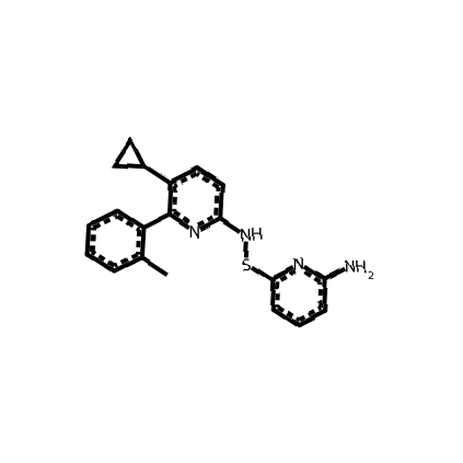 Cc1ccccc1-c1nc(NSc2cccc(N)n2)ccc1C1CC1